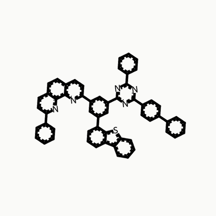 c1ccc(-c2ccc(-c3nc(-c4ccccc4)nc(-c4cc(-c5ccc6ccc7ccc(-c8ccccc8)nc7c6n5)cc(-c5cccc6c5sc5ccccc56)c4)n3)cc2)cc1